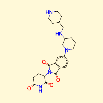 O=C1CCC(N2C(=O)c3ccc(N4CCCC(NCC5CCNCC5)C4)cc3C2=O)C(=O)N1